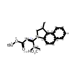 CC1CN(/C(=N/C(=O)OC(C)(C)C)N(C)C(=O)O)c2ccc3ccccc3c21